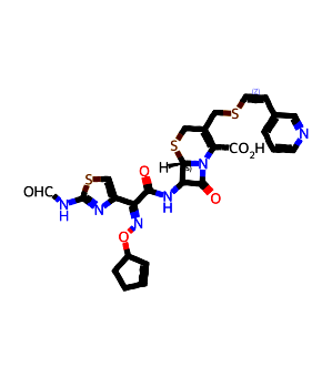 O=CNc1nc(C(=NOC2C=CCC2)C(=O)NC2C(=O)N3C(C(=O)O)=C(CS/C=C\c4cccnc4)CS[C@@H]23)cs1